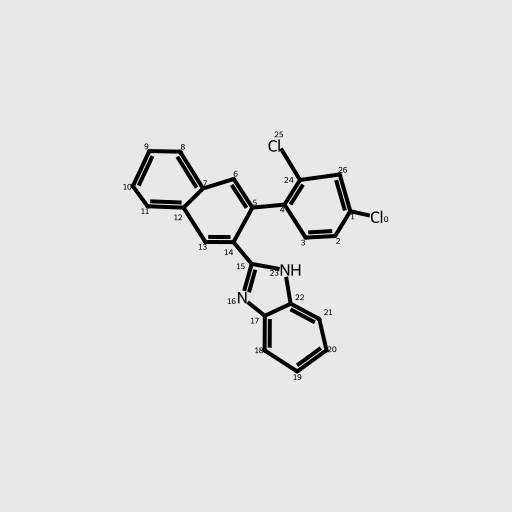 Clc1ccc(-c2cc3ccccc3cc2-c2nc3ccccc3[nH]2)c(Cl)c1